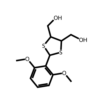 COc1cccc(OC)c1C1SC(CO)C(CO)S1